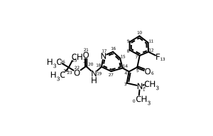 CN(C)/C=C(\C(=O)c1ccccc1F)c1ccnc(NC(=O)OC(C)(C)C)c1